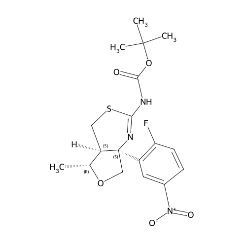 C[C@H]1OC[C@]2(c3cc([N+](=O)[O-])ccc3F)N=C(NC(=O)OC(C)(C)C)SC[C@H]12